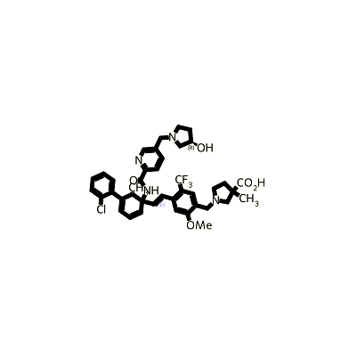 COc1cc(/C=C/C2(NC(=O)c3ccc(CN4CC[C@@H](O)C4)cn3)C=CC=C(c3ccccc3Cl)C2C)c(C(F)(F)F)cc1CN1CCC(C)(C(=O)O)C1